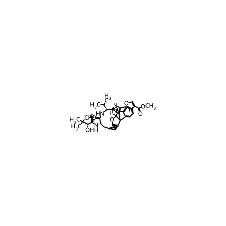 COC(=O)c1coc(-c2nc3oc2C24c5ccccc5N[C@H]2Oc2ccc(cc24)C[C@H](NC(=O)[C@@H](O)C(C)(C)C)C(=O)N[C@H]3C(C)C)n1